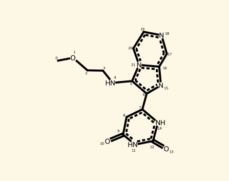 COCCNc1c(-c2cc(=O)[nH]c(=O)[nH]2)nc2cnccn12